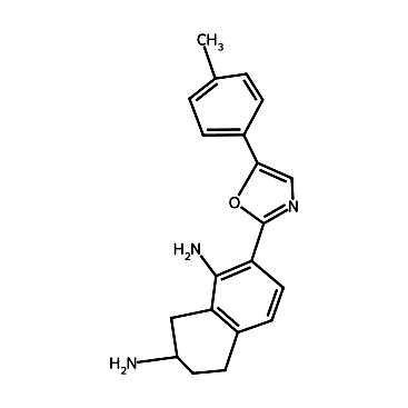 Cc1ccc(-c2cnc(-c3ccc4c(c3N)CC(N)CC4)o2)cc1